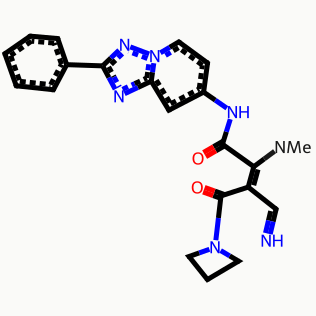 CN/C(C(=O)Nc1ccn2nc(-c3ccccc3)nc2c1)=C(\C=N)C(=O)N1CCC1